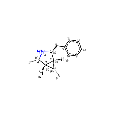 C[C@H]1[C@@H]2[C@H]1[C@H](C)N[C@H]2Cc1ccccc1